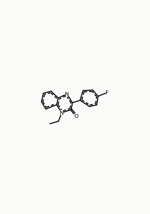 CCn1c(=O)c(-c2ccc(F)cc2)nc2ccccc21